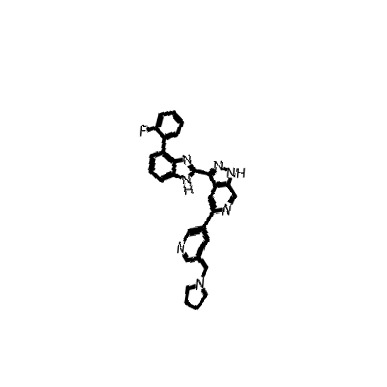 Fc1ccccc1-c1cccc2[nH]c(-c3n[nH]c4cnc(-c5cncc(CN6CCCC6)c5)cc34)nc12